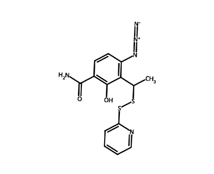 CC(SSc1ccccn1)c1c(N=[N+]=[N-])ccc(C(N)=O)c1O